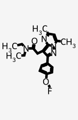 CCN(CC)C(=O)Cc1c(-c2ccc(OCF)cc2)nn2c(C)cc(C)nc12